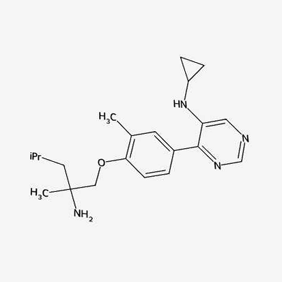 Cc1cc(-c2ncncc2NC2CC2)ccc1OCC(C)(N)CC(C)C